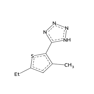 CCc1cc(C)c(-c2nnn[nH]2)s1